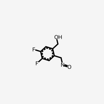 O=NCc1cc(F)c(F)cc1CO